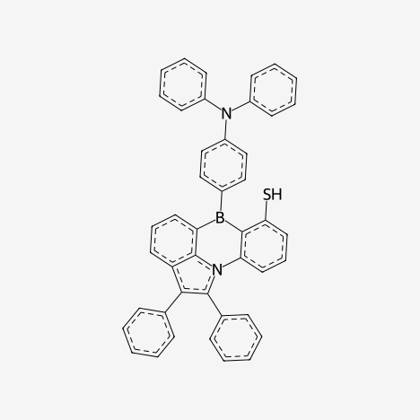 Sc1cccc2c1B(c1ccc(N(c3ccccc3)c3ccccc3)cc1)c1cccc3c(-c4ccccc4)c(-c4ccccc4)n-2c13